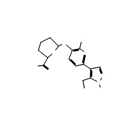 Cc1nc(-c2cnn(C)c2CBr)ccc1OC1CCCC(C(=O)O)C1